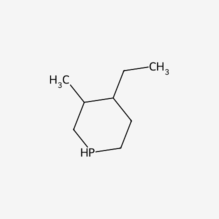 CCC1CCPCC1C